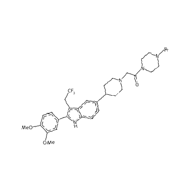 COc1ccc(-c2[nH]c3ccc(C4CCN(CC(=O)N5CCN(C(C)C)CC5)CC4)cc3c2CC(F)(F)F)cc1OC